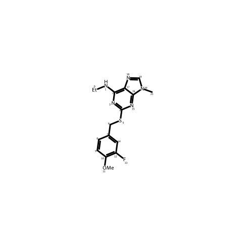 CCNc1nc(SCc2ccc(OC)c(F)c2)nc2c1ncn2C